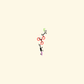 O=C(OCC#CI)OCCF